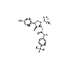 CC(C)[C@H]1CN(c2ncc(Cl)cn2)C(=O)N1CC(=O)Nc1ccc(C(F)(F)F)nc1